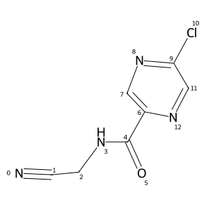 N#CCNC(=O)c1cnc(Cl)cn1